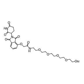 O=C(COc1cccc2c1C(=O)N(C1CCC(=O)NC1=O)C2=O)NCCOCCOCCOCCOCCO